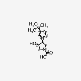 C[Si](C)(C)c1cn(C2CN(C(=O)O)CC2O)nn1